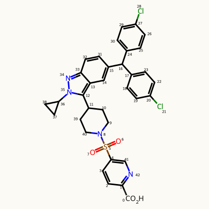 O=C(O)c1ccc(S(=O)(=O)N2CCC(c3c4cc(C(c5ccc(Cl)cc5)c5ccc(Cl)cc5)ccc4nn3C3CC3)CC2)cn1